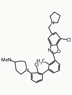 CNC1CCN(c2cccc(-c3cccc(-c4nc5cc(CN6CCCC6)cc(Cl)c5o4)c3C)c2Cl)CC1